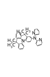 CC1(C)c2ccccc2N2c3ccc(N(c4ccccn4)c4ccccn4)cc3C(C)(C)c3cccc1c32